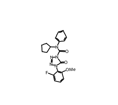 COc1cccc(F)c1-n1nnn(C(=O)N(c2ccccc2)C2CCCC2)c1=O